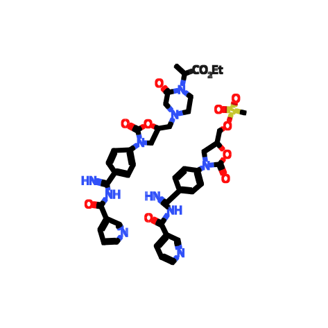 CCOC(=O)C(C)N1CCN(CC2CN(c3ccc(C(=N)NC(=O)c4cccnc4)cc3)C(=O)O2)CC1=O.CS(=O)(=O)OCC1CN(c2ccc(C(=N)NC(=O)c3cccnc3)cc2)C(=O)O1